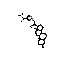 CC1CCC2(C)C(CCC3C2CCC2(C)C(C(=O)Cn4cc(C(=O)N(C)C)cn4)CCC32)C1